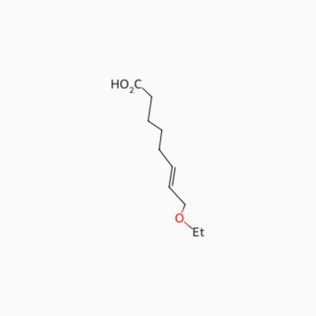 CCOCC=CCCCCC(=O)O